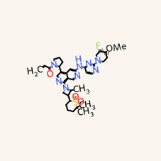 C=CC(=O)N1CCCC1c1cnc(N2CC(C3CCCC(C)(C)S3(=O)=O)C2C)c2cnc(Nc3ccnc(N4CC[C@@H](OC)[C@@H](F)C4)n3)cc12